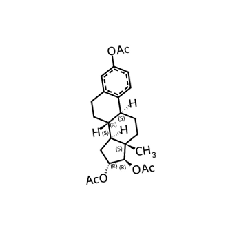 CC(=O)Oc1ccc2c(c1)CC[C@@H]1[C@@H]2CC[C@@]2(C)[C@H]1C[C@@H](OC(C)=O)[C@@H]2OC(C)=O